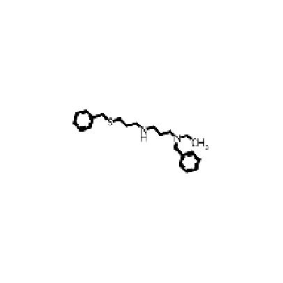 CCN(CCCNCCCSCc1ccccc1)Cc1ccccc1